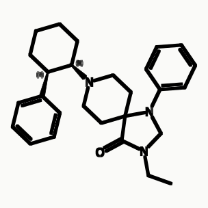 CCN1CN(c2ccccc2)C2(CCN([C@@H]3CCCC[C@@H]3c3ccccc3)CC2)C1=O